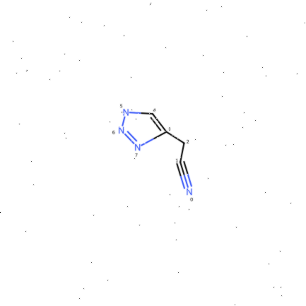 N#CCC1=C[N]N=N1